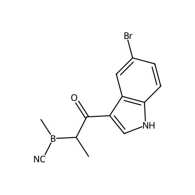 CB(C#N)C(C)C(=O)c1c[nH]c2ccc(Br)cc12